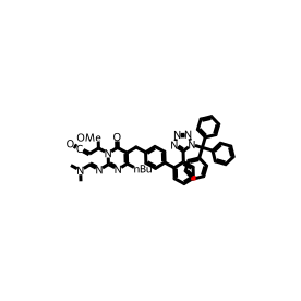 CCCCc1nc(N=CN(C)C)n(C(C=C=O)OC)c(=O)c1Cc1ccc(-c2ccccc2-c2nnnn2C(c2ccccc2)(c2ccccc2)c2ccccc2)cc1